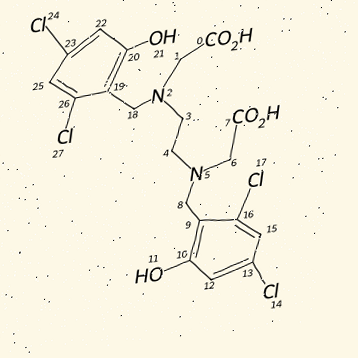 O=C(O)CN(CCN(CC(=O)O)Cc1c(O)cc(Cl)cc1Cl)Cc1c(O)cc(Cl)cc1Cl